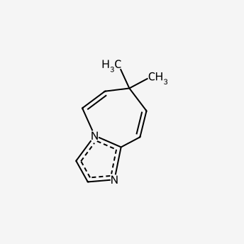 CC1(C)C=Cc2nccn2C=C1